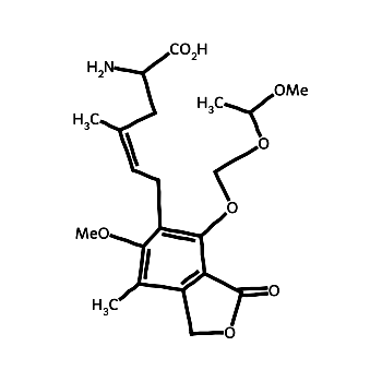 COc1c(C)c2c(c(OCOC(C)OC)c1CC=C(C)CC(N)C(=O)O)C(=O)OC2